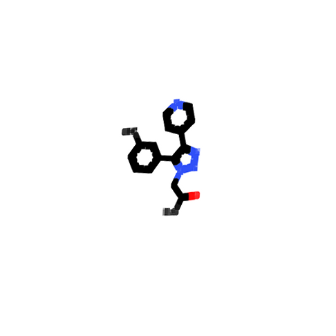 CC(C)COC(=O)Cn1nnc(-c2ccncc2)c1-c1cccc(C=O)c1